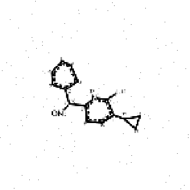 O=N[C@@H](c1ccccc1)c1ccc(C2CC2)c(F)n1